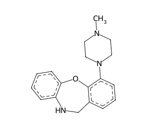 CN1CCN(c2cccc3c2Oc2ccccc2NC3)CC1